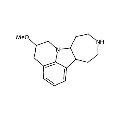 COC1Cc2cccc3c2N(C1)C1CCNCCC31